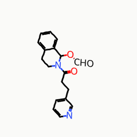 O=COC1c2ccccc2CCN1C(=O)CCc1cccnc1